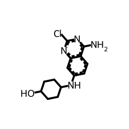 Nc1nc(Cl)nc2cc(NC3CCC(O)CC3)ccc12